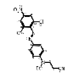 CCN(CCC#N)c1ccc(N=Nc2c(Cl)cc([N+](=O)[O-])cc2Cl)cc1